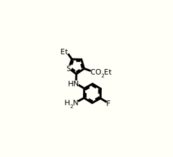 CCOC(=O)c1cc(CC)sc1Nc1ccc(F)cc1N